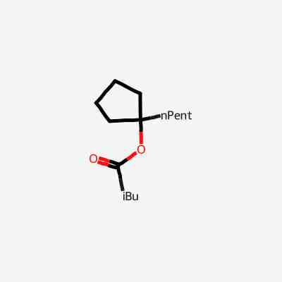 CCCCCC1(OC(=O)C(C)CC)CCCC1